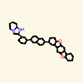 C1=CC2NC(c3cccc(-c4ccc5cc(-c6ccc7oc8cc9c(cc8c7c6)oc6ccccc69)ccc5c4)c3)=CN2C=C1